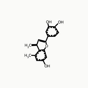 C=C1C=C(c2ccc(O)c(O)c2)Oc2cc(O)cc(C)c21